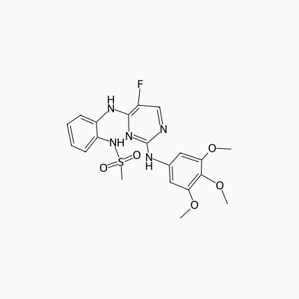 COc1cc(Nc2ncc(F)c(Nc3ccccc3NS(C)(=O)=O)n2)cc(OC)c1OC